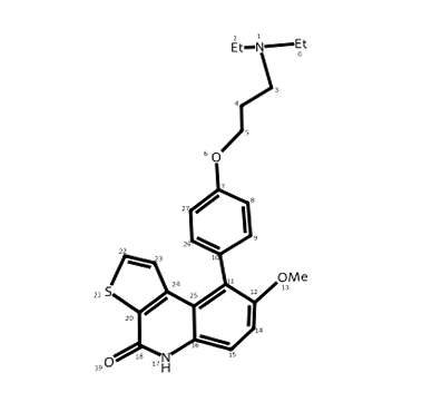 CCN(CC)CCCOc1ccc(-c2c(OC)ccc3[nH]c(=O)c4sccc4c23)cc1